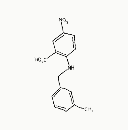 Cc1cccc(CNc2ccc([N+](=O)[O-])cc2C(=O)O)c1